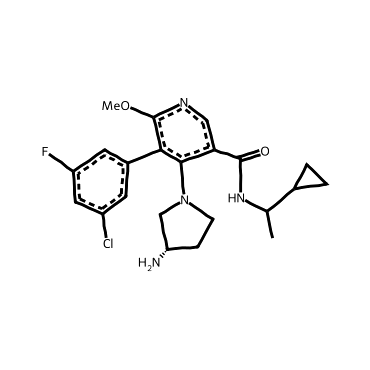 COc1ncc(C(=O)NC(C)C2CC2)c(N2CC[C@H](N)C2)c1-c1cc(F)cc(Cl)c1